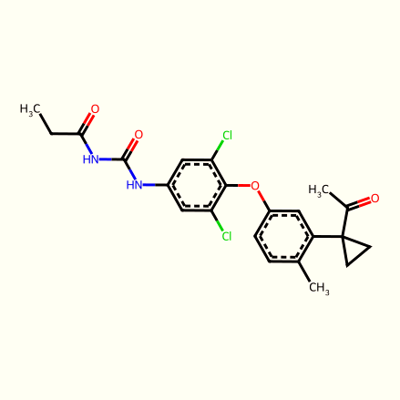 CCC(=O)NC(=O)Nc1cc(Cl)c(Oc2ccc(C)c(C3(C(C)=O)CC3)c2)c(Cl)c1